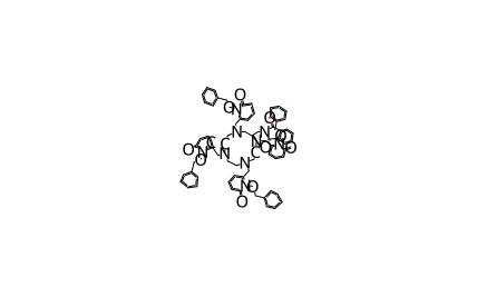 O=C1c2ccccc2C(=O)N1CC1CN(Cc2cccc(=O)n2OCc2ccccc2)CCN(Cc2cccc(=O)n2OCc2ccccc2)CCN(Cc2cccc(=O)n2OCc2ccccc2)CCN1Cc1cccc(=O)n1OCc1ccccc1